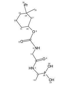 CC(NC(=O)CNC(=O)OC1CCCC(C)(C(C)C)C1)P(O)O